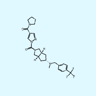 CN(Cc1ccc(C(F)(F)F)cc1)[C@@H]1C[C@@H]2CN(C(=O)n3cc(C(=O)N4CCCC4)cn3)C[C@@H]2C1